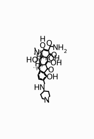 C[C@H]1c2ccc(CNC3CCN(C)CC3)c(O)c2C(=O)C2=C(O)[C@]3(O)C(=O)C(C(N)=O)=C(O)[C@@H](N(C)C)[C@@H]3[C@@H](O)[C@@H]21